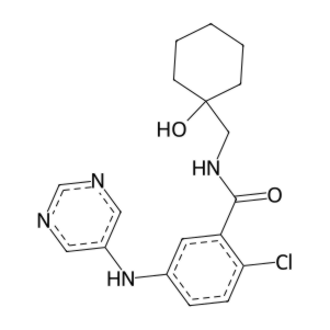 O=C(NCC1(O)CCCCC1)c1cc(Nc2cncnc2)ccc1Cl